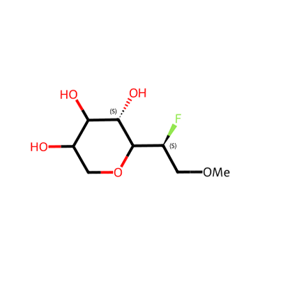 COC[C@H](F)C1OCC(O)C(O)[C@@H]1O